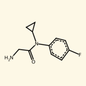 NCC(=O)N(c1ccc(F)cc1)C1CC1